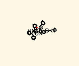 O=C(c1sc2ccccc2c1NN=C(c1ccccc1)c1ccccc1)c1nc2ccc(OCCCN3CCCCC3)cc2n1COCc1ccccc1